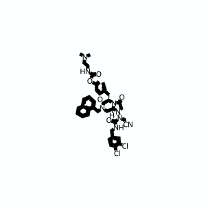 C=C(/C=C\C(=C/C)C[C@H]1C(=O)N(Cc2cccc3ccccc23)C[C@H]2N1C(=O)CN2N(CC#N)C(=O)NCc1ccc(Cl)c(Cl)c1)OC(=O)NCCN(C)C